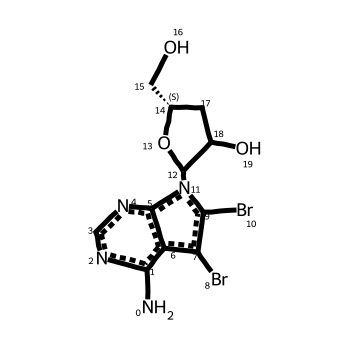 Nc1ncnc2c1c(Br)c(Br)n2C1O[C@H](CO)CC1O